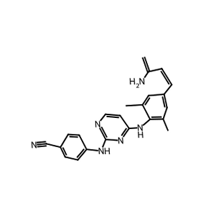 C=C(N)/C=C\c1cc(C)c(Nc2ccnc(Nc3ccc(C#N)cc3)n2)c(C)c1